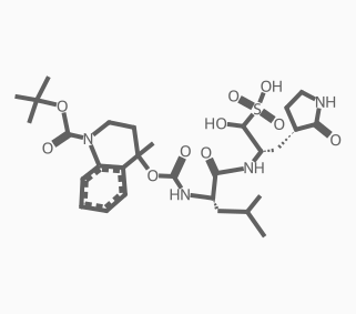 CC(C)C[C@H](NC(=O)OC1(C)CCN(C(=O)OC(C)(C)C)c2ccccc21)C(=O)N[C@@H](C[C@@H]1CCNC1=O)C(O)S(=O)(=O)O